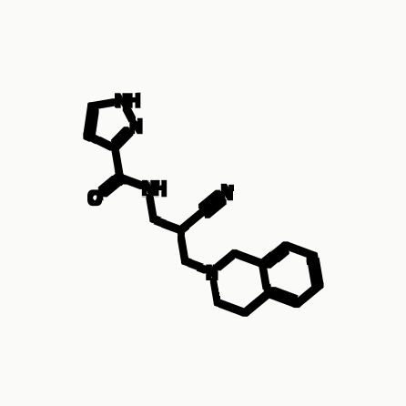 N#CC(CNC(=O)c1cc[nH]n1)CN1CCc2ccccc2C1